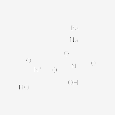 O=[N+]([O-])O.O=[N+]([O-])O.[Ba+2].[Na+]